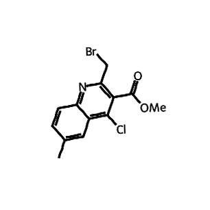 COC(=O)c1c(CBr)nc2ccc(C)cc2c1Cl